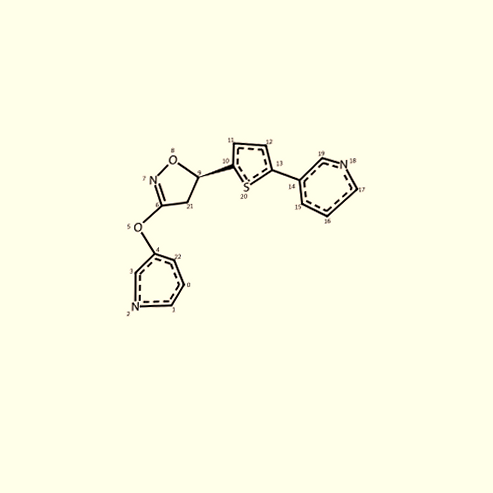 c1cncc(OC2=NO[C@@H](c3ccc(-c4cccnc4)s3)C2)c1